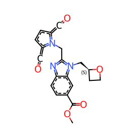 COC(=O)c1ccc2nc(Cn3c(=C=O)ccc3=C=O)n(C[C@@H]3CCO3)c2c1